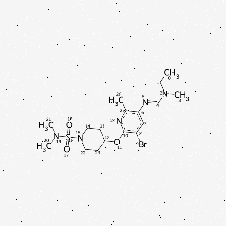 CCN(C)/C=N/c1cc(Br)c(OC2CCN(S(=O)(=O)N(C)C)CC2)nc1C